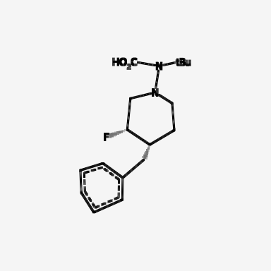 CC(C)(C)N(C(=O)O)N1CC[C@H](Cc2ccccc2)[C@H](F)C1